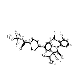 CC(C)C1(C)C(=O)N(c2cccc(Cl)c2C(N)=O)c2ccc(C3CCN(C(=O)OC(C)(C)C)CC3)cc21